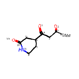 COC(=O)CC(=O)C1CCNC(=O)C1